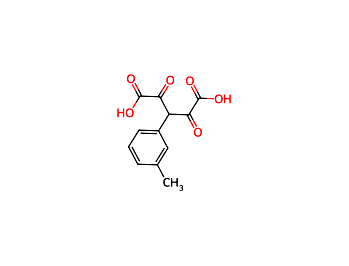 Cc1cccc(C(C(=O)C(=O)O)C(=O)C(=O)O)c1